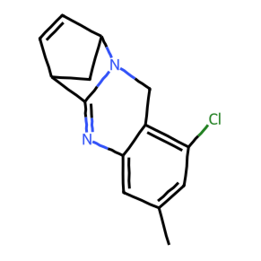 Cc1cc(Cl)c2c(c1)N=C1C3C=CC(C3)N1C2